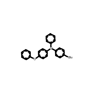 CC(C)(C)c1ccc([S+](c2ccccc2)c2ccc(Oc3ccccc3)cc2)cc1